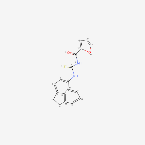 O=C(NC(=S)Nc1ccc2c3c(cccc13)CC2)c1ccco1